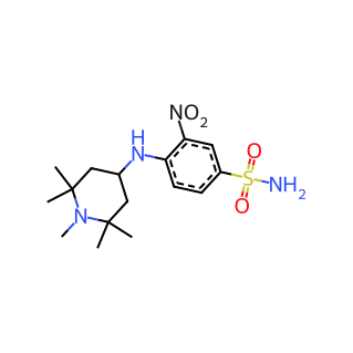 CN1C(C)(C)CC(Nc2ccc(S(N)(=O)=O)cc2[N+](=O)[O-])CC1(C)C